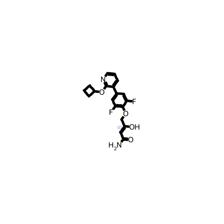 NC(=O)/C=C(\O)COc1c(F)cc(-c2cccnc2OC2CCC2)cc1F